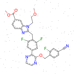 COCCn1c(Cc2c(F)cc(-c3nccnc3OCc3ccc(C#N)cc3F)cc2F)nc2ccc(C(=O)OC)cc21